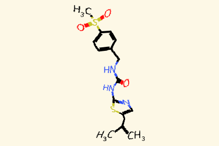 CC(C)c1cnc(NC(=O)NCc2ccc(S(C)(=O)=O)cc2)s1